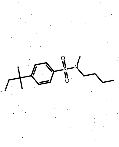 CCCCN(C)S(=O)(=O)c1ccc(C(C)(C)CC)cc1